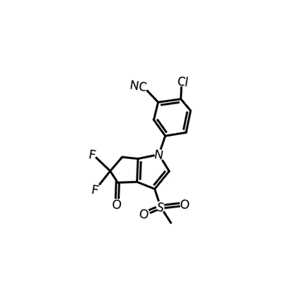 CS(=O)(=O)c1cn(-c2ccc(Cl)c(C#N)c2)c2c1C(=O)C(F)(F)C2